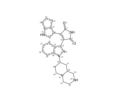 O=C1NC(=O)C(c2c[nH]c3ccsc23)=C1c1nn(C2CCN3CCNCC3C2)c2ccccc12